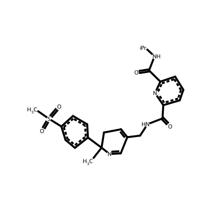 CC(C)NC(=O)c1cccc(C(=O)NCC2=CCC(C)(c3ccc(S(C)(=O)=O)cc3)N=C2)n1